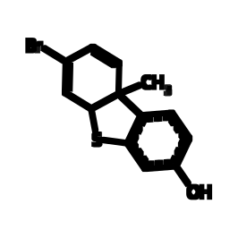 CC12C=CC(Br)=CC1Sc1cc(O)ccc12